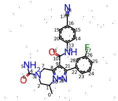 CC1CN(C(N)=O)Cc2c(C(=O)Nc3ccc(C#N)cc3)c(-c3cccc(F)c3)nn21